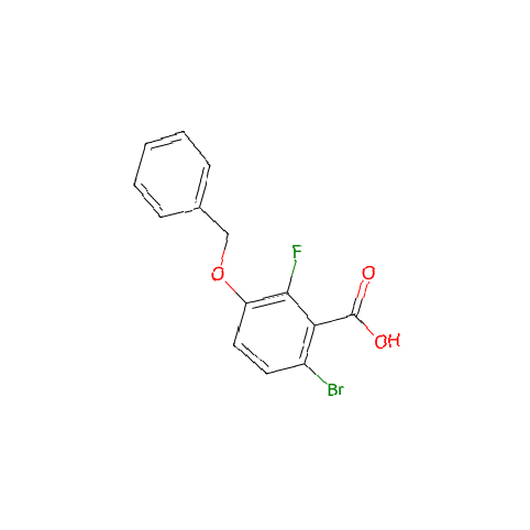 O=C(O)c1c(Br)ccc(OCc2ccccc2)c1F